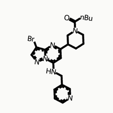 CCCCC(=O)N1CCCC(c2cc(NCc3cccnc3)n3ncc(Br)c3n2)C1